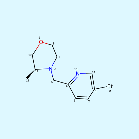 CCc1ccc(CN2CCOC[C@@H]2C)nc1